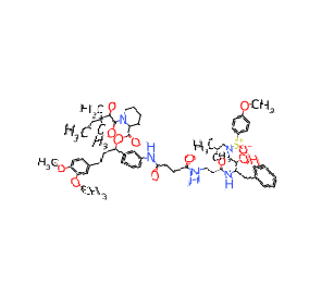 CCC(C)(C)C(=O)C(=O)N1CCCCC1C(=O)OC(CCc1ccc(OC)c(OC)c1)c1cccc(NC(=O)CCC(=O)NCCC(=O)NC(Cc2ccccc2)C(O)CN(CC(C)C)[S+]([O-])c2ccc(OC)cc2)c1